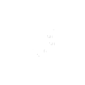 Cc1nc(Br)c(C/C(C=N)=C/NC(F)F)s1